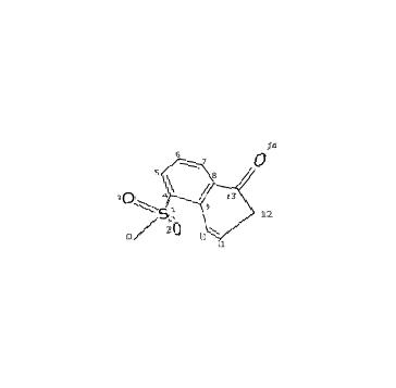 CS(=O)(=O)c1cccc2c1C=CCC2=O